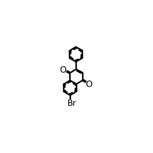 O=C1C=C(c2ccccc2)C(=O)c2ccc(Br)cc21